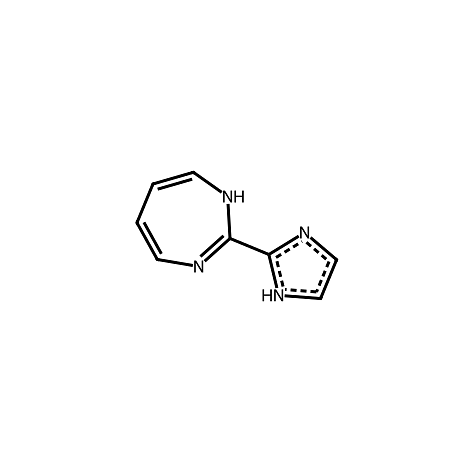 C1=CN=C(c2ncc[nH]2)NC=C1